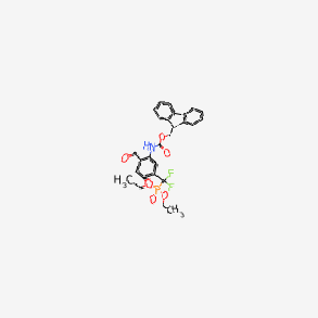 CCOP(=O)(OCC)C(F)(F)c1ccc(C=O)c(NC(=O)OCC2c3ccccc3-c3ccccc32)c1